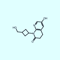 O=C1CCc2cc(O)cnc2N1C1CC(CO)C1